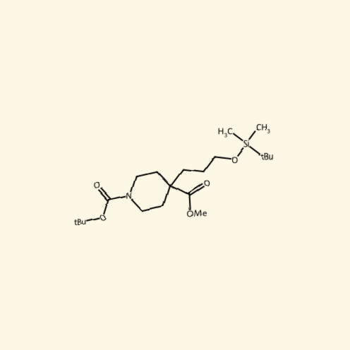 COC(=O)C1(CCCO[Si](C)(C)C(C)(C)C)CCN(C(=O)OC(C)(C)C)CC1